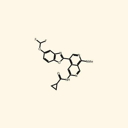 CNc1ncc(-c2nc3cc(OC(F)F)ccc3o2)c2cc(NC(=O)C3CC3)ncc12